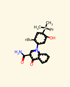 CCCCc1cc([Si](C)(C)C(C)C)c(O)cc1-n1cc(C(N)=O)c(=O)c2ccccc21